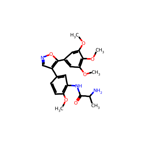 COc1ccc(-c2cnoc2-c2cc(OC)c(OC)c(OC)c2)cc1NC(=O)C(C)N